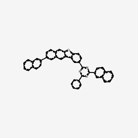 c1ccc(-c2nc(-c3ccc4ccccc4c3)nc(-c3ccc4oc5cc6ccc(-c7ccc8ccccc8c7)cc6cc5c4c3)n2)cc1